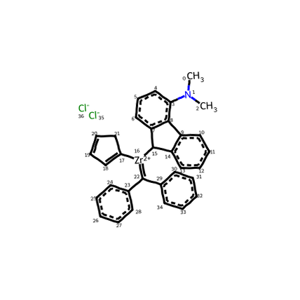 CN(C)c1cccc2c1-c1ccccc1[CH]2[Zr+2]([C]1=CC=CC1)=[C](c1ccccc1)c1ccccc1.[Cl-].[Cl-]